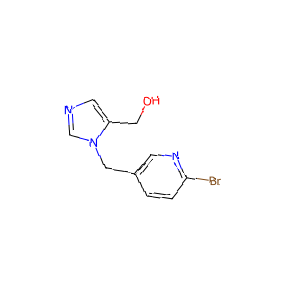 OCc1cncn1Cc1ccc(Br)nc1